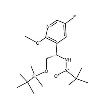 COc1ncc(F)cc1[C@@H](CO[Si](C)(C)C(C)(C)C)N[S+]([O-])C(C)(C)C